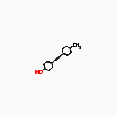 CC1=CC=C(C#CC2=CC=C(O)CC2)CC1